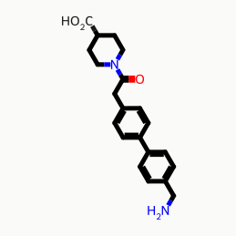 NCc1ccc(-c2ccc(CC(=O)N3CCC(C(=O)O)CC3)cc2)cc1